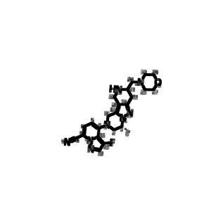 C[C@@H]1CN(c2ccc(C#N)n3ncc(F)c23)Cc2c3c(nn21)CC(CN1CCOCC1)NC3